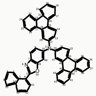 c1ccc2c(-c3nc4ccc(N(c5ccc6c7ccccc7c7ccccc7c6c5)c5ccc6c7ccccc7c7ccccc7c6c5)cc4o3)cccc2c1